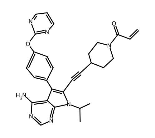 C=CC(=O)N1CCC(C#Cc2c(-c3ccc(Oc4ncccn4)cc3)c3c(N)ncnc3n2C(C)C)CC1